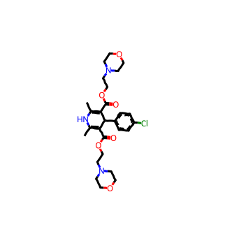 CC1=C(C(=O)OCCN2CCOCC2)C(c2ccc(Cl)cc2)C(C(=O)OCCN2CCOCC2)=C(C)N1